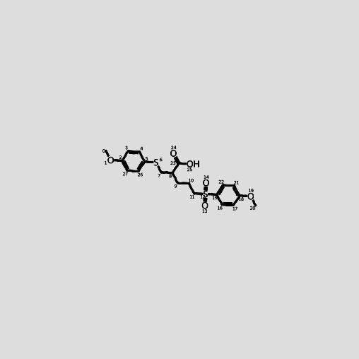 COc1ccc(SCC(CCCS(=O)(=O)c2ccc(OC)cc2)C(=O)O)cc1